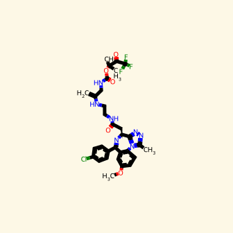 C=C(CNC(=O)OC(C)(C)C(=O)C(F)(F)F)NCCNC(=O)C[C@@H]1N=C(c2ccc(Cl)cc2)c2cc(OC)ccc2-n2c(C)nnc21